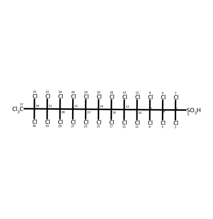 O=S(=O)(O)C(Cl)(Cl)C(Cl)(Cl)C(Cl)(Cl)C(Cl)(Cl)C(Cl)(Cl)C(Cl)(Cl)C(Cl)(Cl)C(Cl)(Cl)C(Cl)(Cl)C(Cl)(Cl)C(Cl)(Cl)C(Cl)(Cl)C(Cl)(Cl)Cl